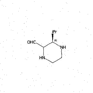 CC(C)[C@H]1NCCNC1C=O